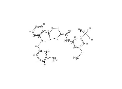 CCc1nc(NC(=O)N2CCN(c3ncccc3OCc3ccnc(N)n3)CC2)cc(C(F)(F)F)n1